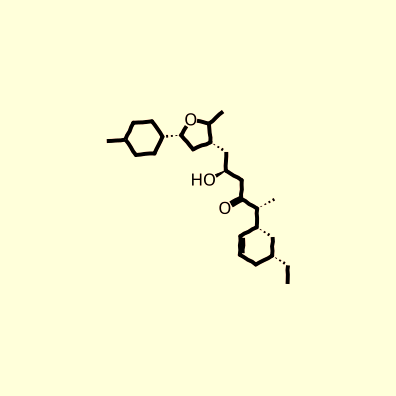 CC[C@@H]1CC=C[C@H]([C@@H](C)C(=O)C[C@@H](O)C[C@@H]2C[C@H](C3CCC(C)CC3)OC2C)C1